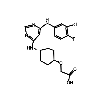 O=C(O)CO[C@H]1CC[C@H](Nc2cc(Nc3ccc(F)c(Cl)c3)ncn2)CC1